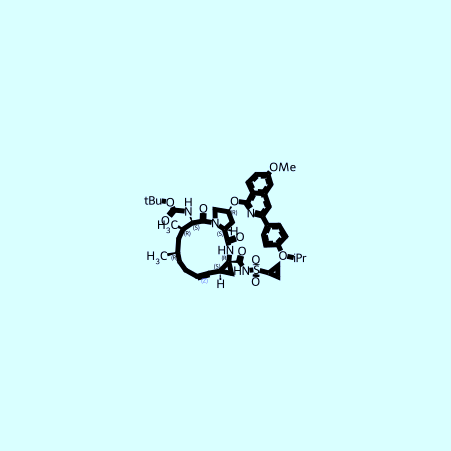 COc1ccc2c(O[C@@H]3C[C@H]4C(=O)N[C@]5(C(=O)NS(=O)(=O)C6CC6)C[C@H]5/C=C\CC[C@@H](C)C[C@@H](C)[C@H](NC(=O)OC(C)(C)C)C(=O)N4C3)nc(-c3ccc(OC(C)C)cc3)cc2c1